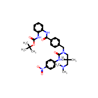 CN(C)CC(C)(C)CN(Cc1ccc(C(=O)Nc2ccccc2NC(=O)OC(C)(C)C)cc1)C(=O)Nc1ccc([N+](=O)[O-])cc1